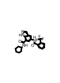 O=C(Nc1cc(C(=O)NC2CCCCC2)c2[nH]ncc2c1)c1ccccc1C(F)(F)F